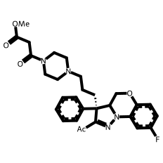 COC(=O)CC(=O)N1CCN(CCC[C@@]2(c3ccccc3)C(C(C)=O)=NN3c4cc(F)ccc4OCC32)CC1